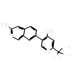 Cc1cc(C(C)(C)O)ncc1-c1ccc2cc(N)ncc2c1